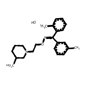 Cc1cccc(/C(=N\OCCN2CCCC(C(=O)O)C2)c2ccccc2C)c1.Cl